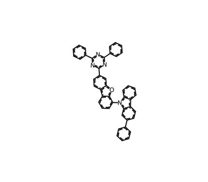 c1ccc(-c2ccc3c4ccccc4n(-c4cccc5c4oc4cc(-c6nc(-c7ccccc7)nc(-c7ccccc7)n6)ccc45)c3c2)cc1